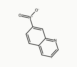 O=[N+]([O-])c1ccc2c[c]cnc2c1